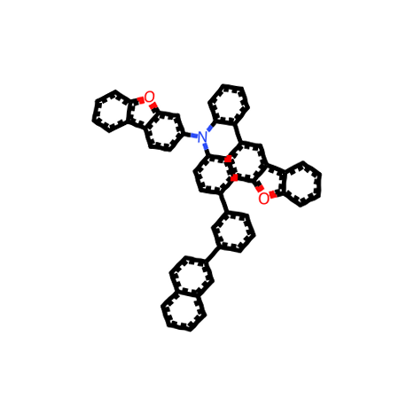 c1cc(-c2ccc(N(c3ccc4c(c3)oc3ccccc34)c3ccccc3-c3ccc4oc5ccccc5c4c3)cc2)cc(-c2ccc3ccccc3c2)c1